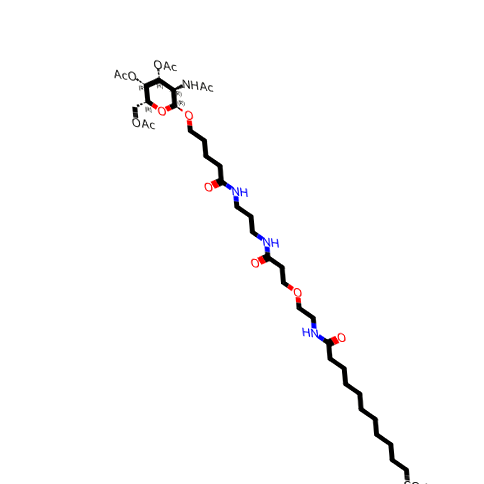 CC(=O)N[C@H]1[C@H](OCCCCC(=O)NCCCNC(=O)CCOCCNC(=O)CCCCCCCCCCC(=O)O)O[C@H](COC(C)=O)[C@H](OC(C)=O)[C@@H]1OC(C)=O